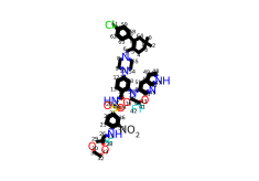 CC1(C)CCC(CN2CCN(c3ccc(C(=O)NS(=O)(=O)c4ccc(NCC5(F)COCCO5)c([N+](=O)[O-])c4)c(N4CC(F)(F)Oc5nc6[nH]ccc6cc54)c3)CC2)=C(c2ccc(Cl)cc2)C1